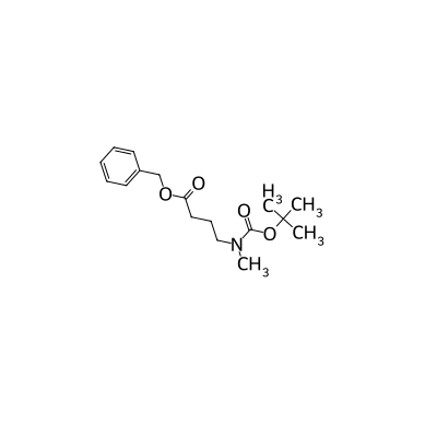 CN(CCCC(=O)OCc1ccccc1)C(=O)OC(C)(C)C